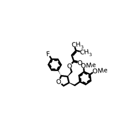 COc1ccc(C[C@H]2CO[C@H](c3ccc(F)cc3)[C@H]2COC(=O)C=C(C)C)cc1OC